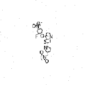 O=C1CCC(=O)N1Cc1ccc(-c2cc3nccc(Oc4ccc([N+](=O)[O-])cc4F)c3s2)nc1